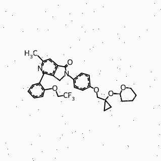 Cc1cc2c(c(-c3ccccc3OCC(F)(F)F)n1)CN(c1ccc(OCC3(O[C@@H]4CCCCO4)CC3)cc1)C2=O